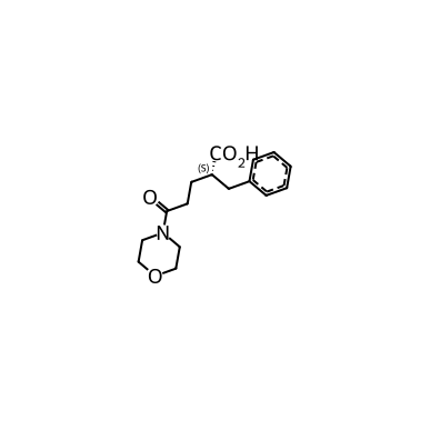 O=C(O)[C@@H](CCC(=O)N1CCOCC1)Cc1ccccc1